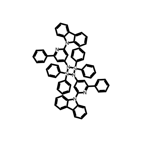 c1ccc(-c2cc(N3[Si](c4ccccc4)(c4ccccc4)N(c4cc(-c5ccccc5)nc(-n5c6ccccc6c6ccccc65)c4)[Si]3(c3ccccc3)c3ccccc3)cc(-n3c4ccccc4c4ccccc43)n2)cc1